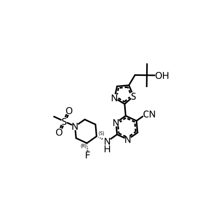 CC(C)(O)Cc1cnc(-c2nc(N[C@H]3CCN(S(C)(=O)=O)C[C@H]3F)ncc2C#N)s1